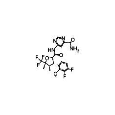 COc1c([C@@H]2[C@@H](C)[C@](C)(C(F)(F)F)O[C@H]2C(=O)Nc2cc(C(N)=O)ncn2)ccc(F)c1F